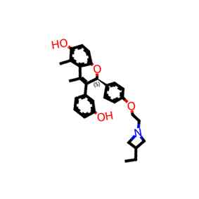 CCC1CN(CCOc2ccc([C@@H]3Oc4ccc(O)c(C)c4C(C)=C3c3cccc(O)c3)cc2)C1